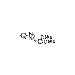 COc1ccc(Sc2ccnc(-c3ccccn3)n2)cc1OC